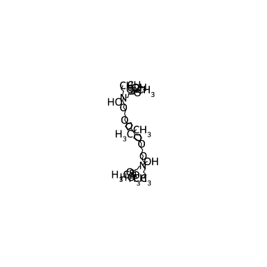 CCCCN(CCC[Si](O)(OC)OC)C(O)COCCCOc1ccc(C(C)(C)c2ccc(OCCCOCC(O)N(CCCC)CCC[Si](O)(OC)OC)cc2)cc1